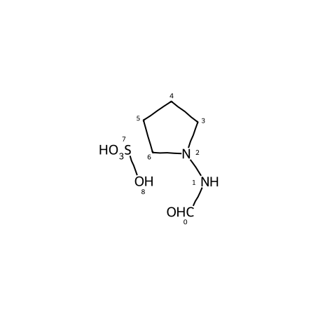 O=CNN1CCCC1.O=S(=O)(O)O